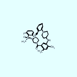 Cc1cc(C)c(C(=O)N2CCN(c3cccc(F)c3S(C)(=N)=O)CC2)cc1NC1CCN(c2ccccc2C#N)CC1